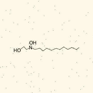 CCCCCCCCCCCCN(O)CCO